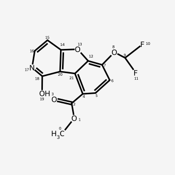 COC(=O)c1ccc(OC(F)F)c2oc3ccnc(O)c3c12